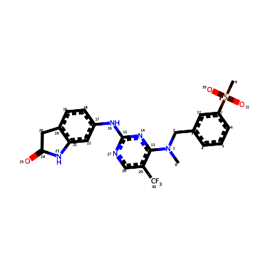 CN(Cc1cccc(S(C)(=O)=O)c1)c1nc(Nc2ccc3c(c2)NC(=O)C3)ncc1C(F)(F)F